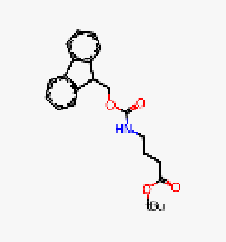 CC(C)(C)OC(=O)CCCNC(=O)OCC1c2ccccc2-c2ccccc21